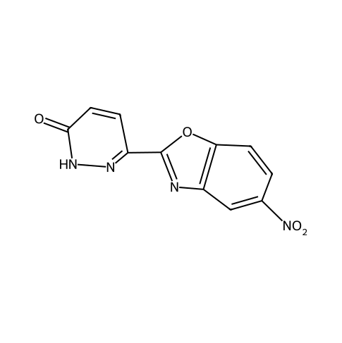 O=c1ccc(-c2nc3cc([N+](=O)[O-])ccc3o2)n[nH]1